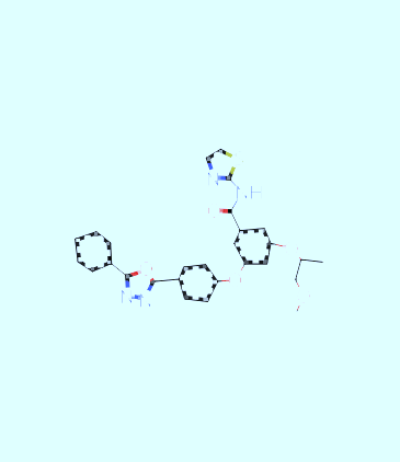 COCC(C)Oc1cc(Oc2ccc(-c3nnc(-c4ccccc4)o3)cc2)cc(C(=O)Nc2nccs2)c1